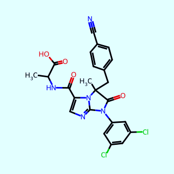 CC(NC(=O)c1cnc2n1C(C)(Cc1ccc(C#N)cc1)C(=O)N2c1cc(Cl)cc(Cl)c1)C(=O)O